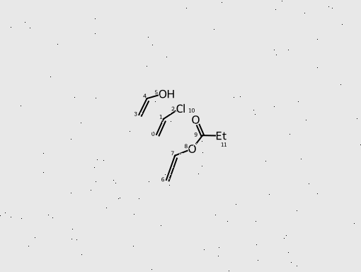 C=CCl.C=CO.C=COC(=O)CC